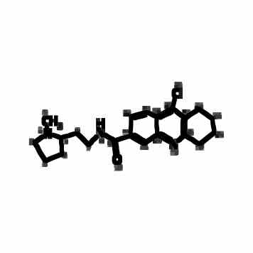 CN1CCCC1CCNC(=O)c1ccc2c(Cl)c3c(nc2c1)CCCC3